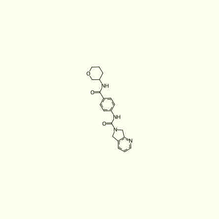 O=C(NC1CCCOC1)c1ccc(NC(=O)N2Cc3cccnc3C2)cc1